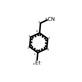 C[CH]c1ccc([CH]C#N)cc1